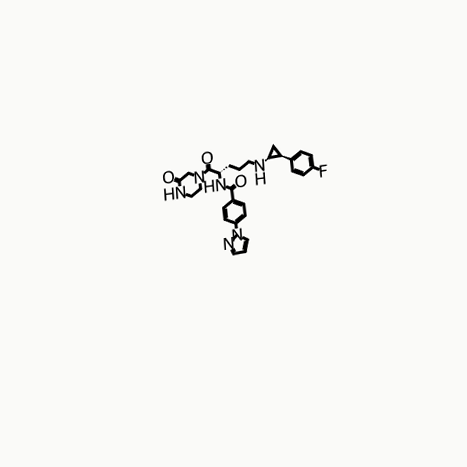 O=C1CN(C(=O)[C@H](CCCN[C@@H]2C[C@H]2c2ccc(F)cc2)NC(=O)c2ccc(-n3cccn3)cc2)CCN1